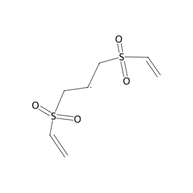 C=CS(=O)(=O)C[CH]CS(=O)(=O)C=C